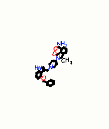 CC1c2cccc(C(N)=O)c2C(=O)N1C1CCN(Cc2c[nH]c3cccc(OCc4ccccc4)c23)CC1